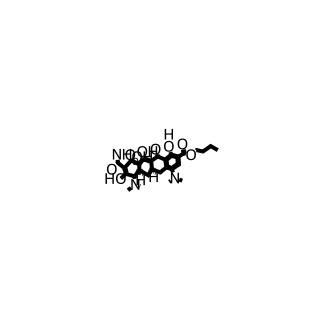 CCCCOC(=O)c1cc(N(C)C)c2c(c1O)C(=O)C1=C(O)C3(O)C(=O)C(C(N)=O)=C(O)C(N(C)C)[C@@H]3C[C@@H]1C2